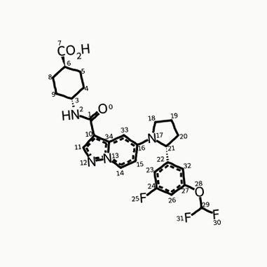 O=C(N[C@H]1CC[C@H](C(=O)O)CC1)c1cnn2ccc(N3CCC[C@@H]3c3cc(F)cc(OC(F)F)c3)cc12